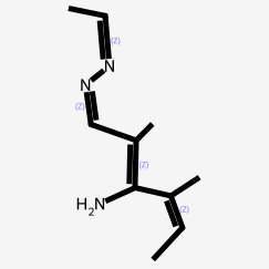 C\C=N/N=C\C(C)=C(N)\C(C)=C/C